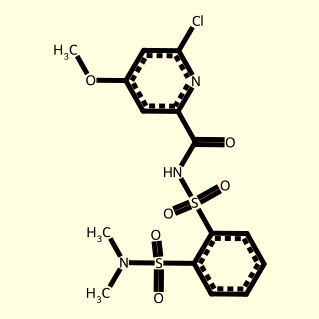 COc1cc(Cl)nc(C(=O)NS(=O)(=O)c2ccccc2S(=O)(=O)N(C)C)c1